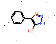 Oc1[nH]n[s+]c1-c1ccccc1